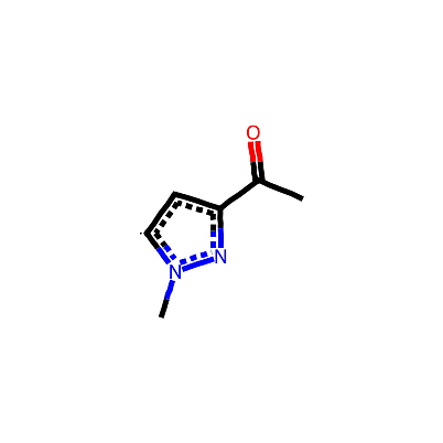 CC(=O)c1c[c]n(C)n1